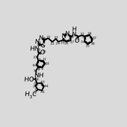 CC1C=C(C(O)NCc2cccc(CC(=O)Nc3nnc(CCCCc4ccc(NC(=O)Cc5ccccc5)nn4)s3)c2)C=CC1